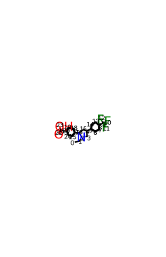 CCN1CC(c2ccc(C(F)(F)F)cc2)CC1c1ccc(C(=O)O)cc1